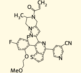 C=CC(=O)N1Cc2cc(-c3nc(-c4cncc(C#N)c4)c4ccsc4c3-c3c(F)cc(F)cc3OCCOC)nn2CC1C